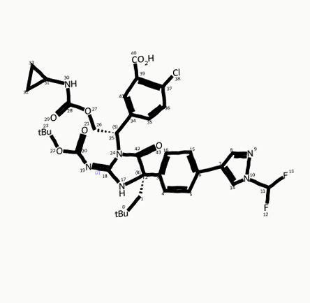 CC(C)(C)C[C@]1(c2ccc(-c3cnn(C(F)F)c3)cc2)N/C(=N/C(=O)OC(C)(C)C)N([C@H](COC(=O)NC2CC2)c2ccc(Cl)c(C(=O)O)c2)C1=O